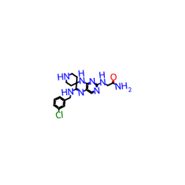 NC(=O)CNc1ncc2c(n1)NC1(CCNCC1)C(NCc1cccc(Cl)c1)=N2